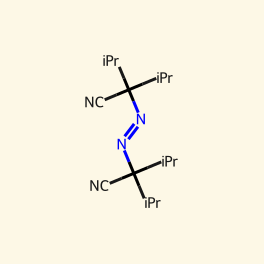 CC(C)C(C#N)(N=NC(C#N)(C(C)C)C(C)C)C(C)C